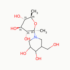 C[C@H]1O[C@@](C)(N2CC(O)C(O)C(CO)C2)[C@H](O)[C@@H](O)[C@@H]1O